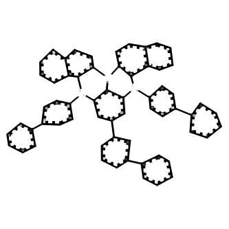 c1ccc(-c2ccc(N3c4cc(-c5cccc(-c6ccccc6)c5)cc5c4B(c4ccc6ccccc6c43)c3ccc4ccccc4c3N5c3ccc(-c4ccccc4)cc3)cc2)cc1